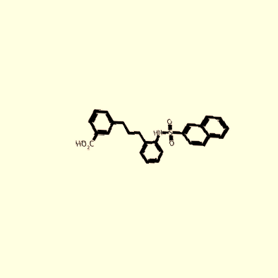 O=C(O)c1cccc(CCCc2ccccc2NS(=O)(=O)c2ccc3ccccc3c2)c1